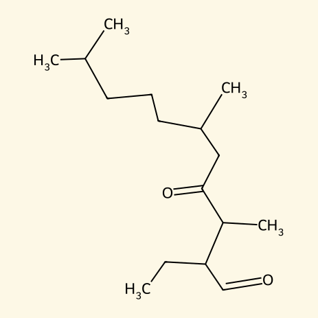 CCC(C=O)C(C)C(=O)CC(C)CCCC(C)C